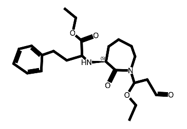 CCOC(=O)C(CCc1ccccc1)N[C@H]1CCCCN(C(CC=O)OCC)C1=O